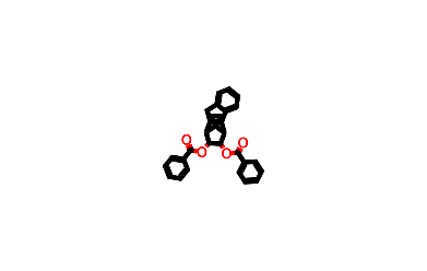 O=C(OC1C(OC(=O)c2ccccc2)C2C3c4ccccc4CC3C1C21CC1)c1ccccc1